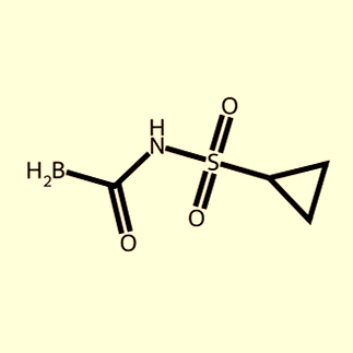 BC(=O)NS(=O)(=O)C1CC1